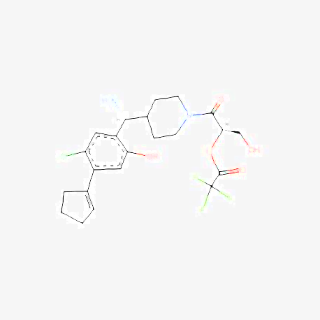 N[C@@H](c1cc(Cl)c(C2=CCCC2)cc1O)C1CCN(C(=O)[C@@H](CO)OC(=O)C(F)(F)F)CC1